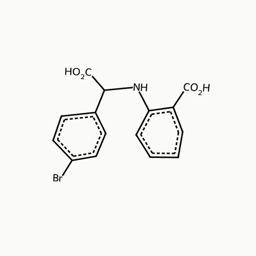 O=C(O)c1ccccc1NC(C(=O)O)c1ccc(Br)cc1